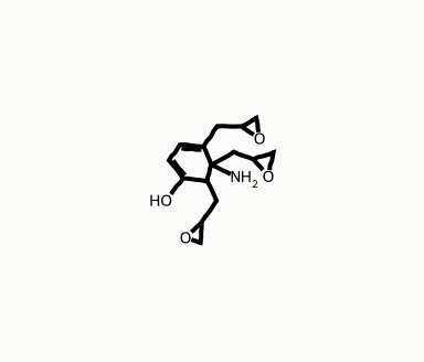 NC1(CC2CO2)C(CC2CO2)=CC=C(O)C1CC1CO1